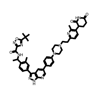 Cc1cc(-c2n[nH]c3ncc(-c4ccc(N5CCN(CCc6ccc(C7CCC(=O)NC7=O)c(C)n6)CC5)cc4)cc23)ccc1C(C)NC(=O)c1noc(C(C)(C)C)n1